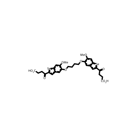 COc1cc2[se]c(C(=O)CCC(=O)O)cc2cc1OCCCCOc1cc2cc(C(=O)CCC(=O)O)[se]c2cc1OC